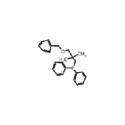 CC(C)(COCc1ccccc1)CP(c1ccccc1)c1ccccc1